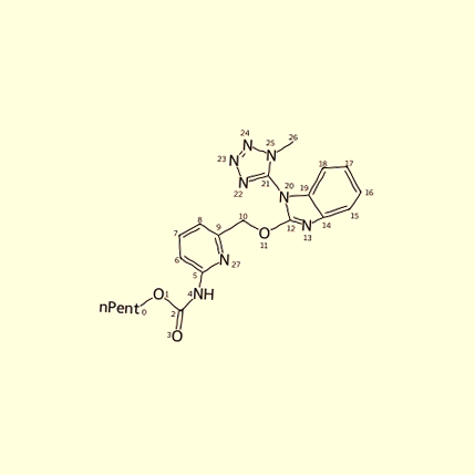 CCCCCOC(=O)Nc1cccc(COc2nc3ccccc3n2-c2nnnn2C)n1